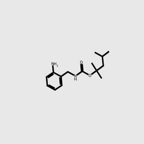 CC(C)CC(C)(C)OC(=O)NCc1ccccc1N